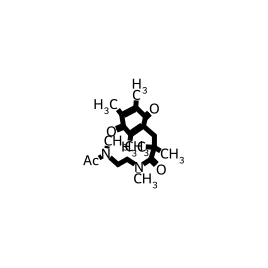 CC(=O)N(C)CCN(C)C(=O)C(C)(C)CC1=C(C)C(=O)C(C)=C(C)C1=O